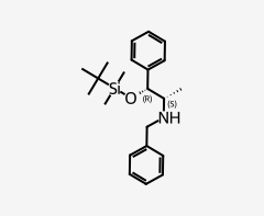 C[C@H](NCc1ccccc1)[C@H](O[Si](C)(C)C(C)(C)C)c1ccccc1